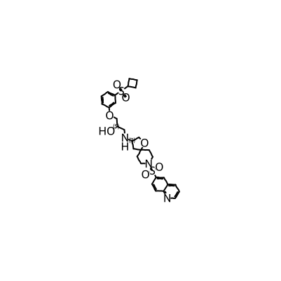 O=S(=O)(c1cccc(OC[C@@H](O)CN[C@H]2COC3(CCN(S(=O)(=O)c4ccc5ncccc5c4)CC3)C2)c1)C1CCC1